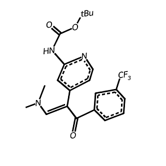 CN(C)C=C(C(=O)c1cccc(C(F)(F)F)c1)c1ccnc(NC(=O)OC(C)(C)C)c1